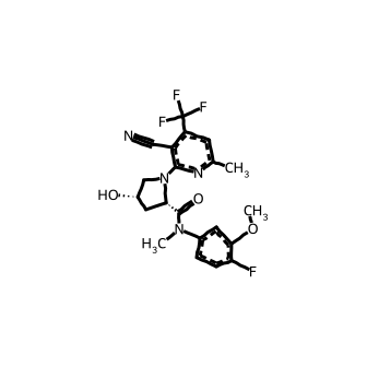 COc1cc(N(C)C(=O)[C@@H]2C[C@H](O)CN2c2nc(C)cc(C(F)(F)F)c2C#N)ccc1F